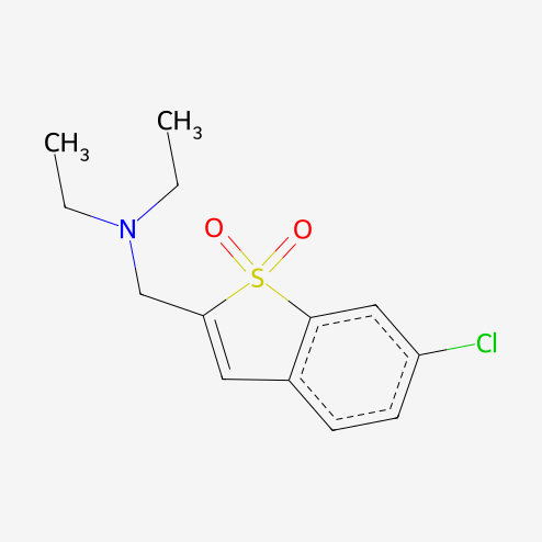 CCN(CC)CC1=Cc2ccc(Cl)cc2S1(=O)=O